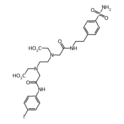 NS(=O)(=O)c1ccc(CCNC(=O)CN(CCN(CC(=O)O)CC(=O)Nc2ccc(I)cc2)CC(=O)O)cc1